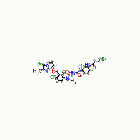 Cc1nc2c(OCc3c(Cl)ccc(N(C)C(=O)CNC(=O)Nc4cccc(NC(=O)CCCBr)c4)c3Cl)cccn2c1Br